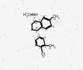 CN[C@H]1CC[C@@H](c2ccc(Cl)c(C)c2)c2ccc(C)cc21